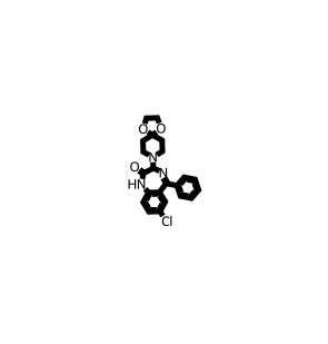 O=C1Nc2ccc(Cl)cc2C(c2ccccc2)=NC1N1CCC2(CC1)OCCO2